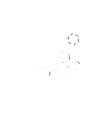 C[C@H]1CCCC12CN(C(=O)OC(C)(C)C)CCC2(O)N1C[C@@H](c2ccccc2)CC1=O